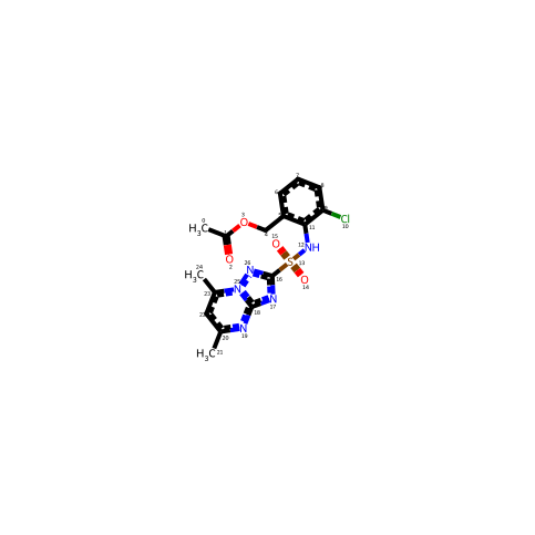 CC(=O)OCc1cccc(Cl)c1NS(=O)(=O)c1nc2nc(C)cc(C)n2n1